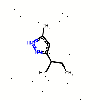 CCC(C)c1cc(C)[nH]n1